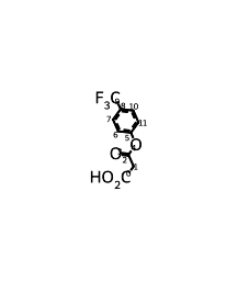 O=C(O)CC(=O)Oc1ccc(C(F)(F)F)cc1